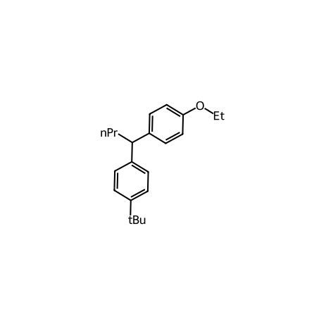 CCCC(c1ccc(OCC)cc1)c1ccc(C(C)(C)C)cc1